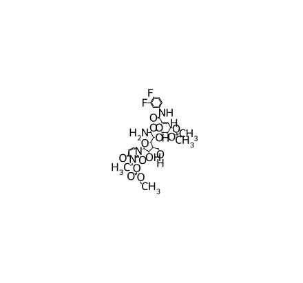 CCOC(=O)OC(C)n1c(=O)ccn([C@@H]2O[C@H]([C@@H](O[C@H]3OC(C(=O)Nc4ccc(F)c(F)c4)=C[C@@H]4OC(C)(C)O[C@H]34)C(N)=O)[C@@H](CO)[C@H]2O)c1=O